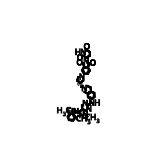 Cc1cccc(C)c1Nc1nn(C)c2nc(Nc3ccc4c(c3)CN(C[C@@H]3CCN(c5ccc6c(c5)C(=O)N(C5CCC(=O)NC5=O)C6=O)C3)CC4)ncc12